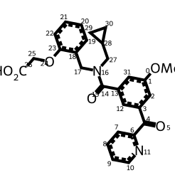 COc1cc(C(=O)c2ccccn2)cc(C(=O)N(Cc2ccccc2OCC(=O)O)CC2CC2)c1